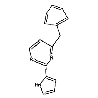 c1ccc(Cc2ccnc(-c3ccc[nH]3)n2)cc1